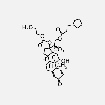 CCCOC(=O)O[C@]1(C(=O)COC(=O)CCC2CCCC2)CC[C@H]2[C@@H]3CCC4=CC(=O)C=C[C@]4(C)[C@@]3(Cl)C(O)C[C@@]21C